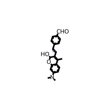 CC1=C(/C=C/c2ccc(C=O)cc2)C(O)Oc2cc(N(C)C)ccc21